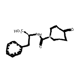 O=C1CCN(C(=O)N[C@@H](Cc2ccccc2)C(=O)O)CC1